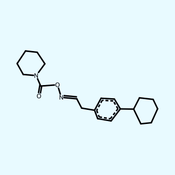 O=C(ON=CCc1ccc(C2CCCCC2)cc1)N1CCCCC1